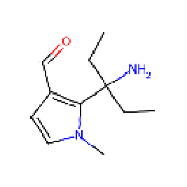 CCC(N)(CC)c1c([C]=O)ccn1C